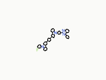 Fc1cccc(-n2c3ccccc3c3cc(-c4ccc(-c5ccc6c(c5)c5ccccc5n6-c5ccc(-c6nc(-c7ccccc7)c7ccccc7n6)cc5)cc4)ccc32)c1